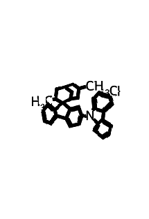 CC1CC2CC(C)C3(c4ccccc4-c4ccc(-n5c6ccccc6c6cc(Cl)ccc65)cc43)C(C1)C2